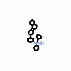 C1=CC2c3c(ccc4ccccc34)C2C=C1c1cccc(N2c3ccccc3NC2c2ccccc2)c1